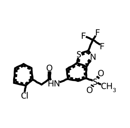 CS(=O)(=O)c1cc(NC(=O)Cc2ccccc2Cl)cc2sc(C(F)(F)F)nc12